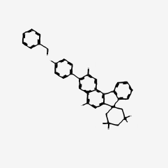 Cc1cc2c3c(cc(O)c2cc1-c1ccc(OCc2ccccc2)cc1)C1(CC(C)(C)CC(C)(C)C1)c1ccccc1-3